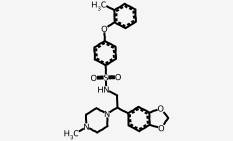 Cc1ccccc1Oc1ccc(S(=O)(=O)NCC(c2ccc3c(c2)OCO3)N2CCN(C)CC2)cc1